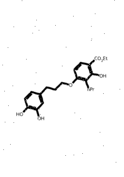 CCCc1c(OCCCc2ccc(O)c(O)c2)ccc(C(=O)OCC)c1O